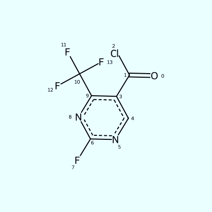 O=C(Cl)c1cnc(F)nc1C(F)(F)F